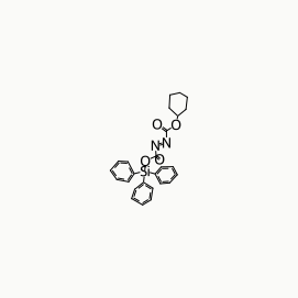 O=C(N=NC(=O)O[Si](c1ccccc1)(c1ccccc1)c1ccccc1)OC1CCCCC1